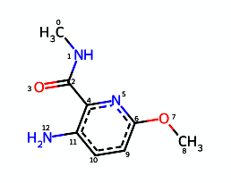 CNC(=O)c1nc(OC)ccc1N